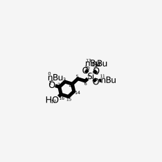 CCCCOC1CC(CC[Si](OCCCC)(OCCCC)OCCCC)CCC1O